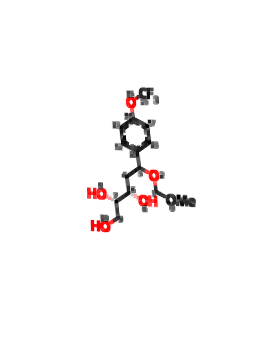 COCOC(C[C@H](O)[C@@H](O)CO)c1ccc(OC(F)(F)F)cc1